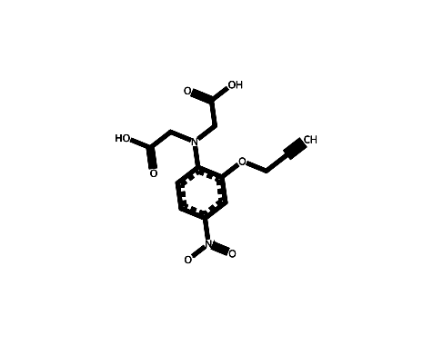 C#CCOc1cc([N+](=O)[O-])ccc1N(CC(=O)O)CC(=O)O